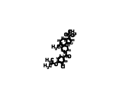 CC(C)Oc1ccc(C(=O)N2CCC3(CC2)c2ccc(S(C)(=O)=O)n2CCN3C)cc1Cl